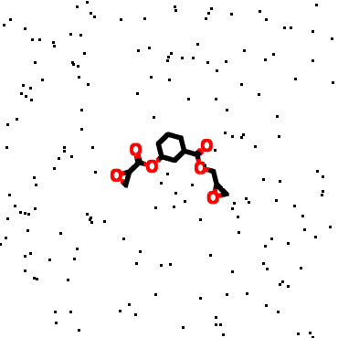 O=C(OCC1CO1)C1CCCC(OC(=O)C2CO2)C1